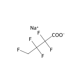 O=C([O-])C(F)(F)C(F)(F)CF.[Na+]